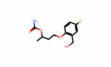 CC(CCOc1ccc(F)cc1CO)OC(N)=O